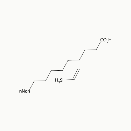 C=C[SiH3].CCCCCCCCCCCCCCCCCC(=O)O